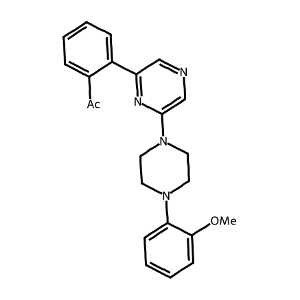 COc1ccccc1N1CCN(c2cncc(-c3ccccc3C(C)=O)n2)CC1